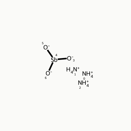 [NH4+].[NH4+].[NH4+].[O-][Sb]([O-])[O-]